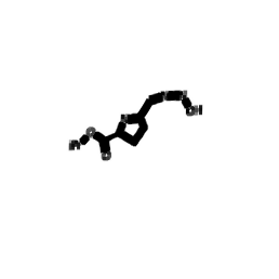 CC(C)OC(=O)[C@@H]1CCC(C=[N+]=NO)=N1